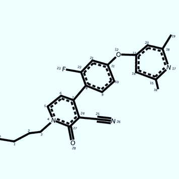 CCCCn1ccc(-c2ccc(Oc3cc(C)nc(C)c3)cc2F)c(C#N)c1=O